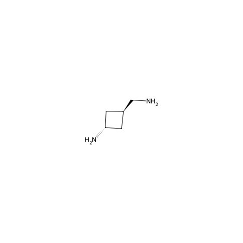 NC[C@H]1C[C@H](N)C1